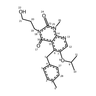 Cc1ccc(Cc2c(OC(C)C)cnc3c2c(=O)n(CCCO)c(=O)n3C)cc1